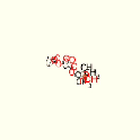 Cc1cc(OC(=O)C2C3CC4C(OC(=O)C42)C3OC(=O)C23CC4CC(C2)C(=O)C(C4)C3)cc(C(C)C)c1S(=O)(=O)O